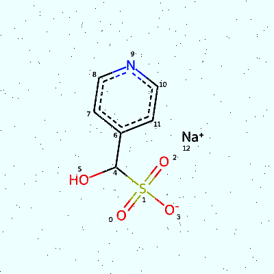 O=S(=O)([O-])C(O)c1ccncc1.[Na+]